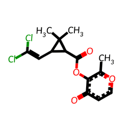 Cc1occc(=O)c1OC(=O)C1C(C=C(Cl)Cl)C1(C)C